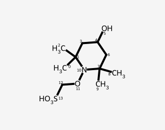 CC1(C)CC(O)CC(C)(C)N1OCS(=O)(=O)O